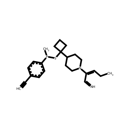 C#Cc1ccc(P(C)SC2(C3CCN(/C(C=N)=C/CC)CC3)CCC2)cc1